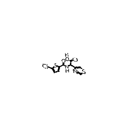 O=C(NC(C(=O)O)c1cscn1)c1ccc(Cl)s1